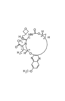 COc1ccc2nc3c(nc2c1)O[C@H]1CN(C(=O)[C@H](C2(C)COC2)NC(=O)O[C@@H]2C[C@H]2CCCCC3)[C@H](C(C)=O)[C@@H]1C